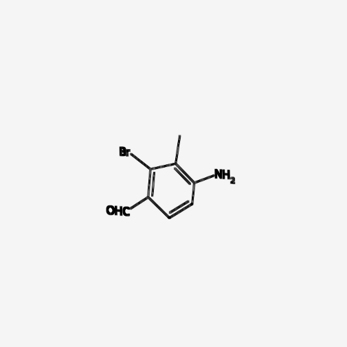 Cc1c(N)ccc(C=O)c1Br